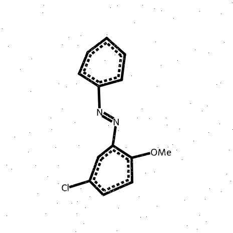 COc1ccc(Cl)cc1N=Nc1ccccc1